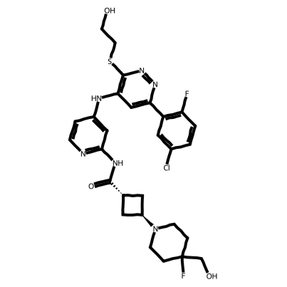 O=C(Nc1cc(Nc2cc(-c3cc(Cl)ccc3F)nnc2SCCO)ccn1)[C@H]1C[C@H](N2CCC(F)(CO)CC2)C1